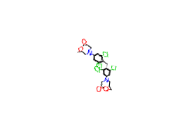 Clc1cc(N(CC2CO2)CC2CO2)cc(Cl)c1Cc1c(Cl)cc(N(CC2CO2)CC2CO2)cc1Cl